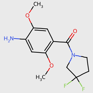 COc1cc(C(=O)N2CCC(F)(F)C2)c(OC)cc1N